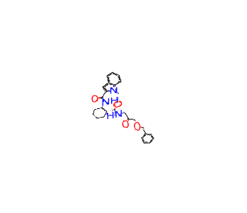 Cn1c(C(=O)N[C@H]2CCCC[C@H]2C(=O)NCC(=O)COCc2ccccc2)cc2ccccc21